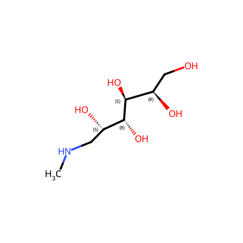 CNC[C@H](O)[C@@H](O)[C@@H](O)[C@H](O)CO